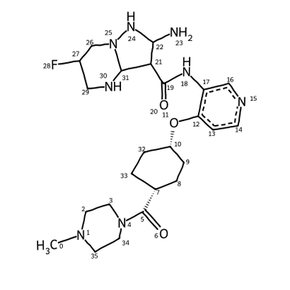 CN1CCN(C(=O)[C@H]2CC[C@@H](Oc3ccncc3NC(=O)C3C(N)NN4CC(F)CNC34)CC2)CC1